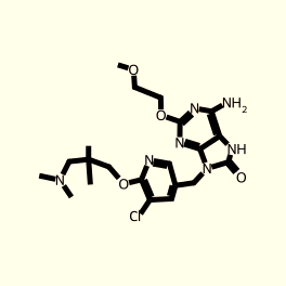 COCCOc1nc(N)c2[nH]c(=O)n(Cc3cnc(OCC(C)(C)CN(C)C)c(Cl)c3)c2n1